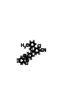 Cc1ccccc1CN(c1ccc(C#N)c(Cl)c1)[C@H]1CCN(S(=O)(=O)c2ccccc2Cl)C1